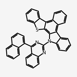 c1ccc2c(-c3nc(-n4c5ccccc5c5c6ccccc6c6c7ccccc7sc6c54)nc4ccccc34)cccc2c1